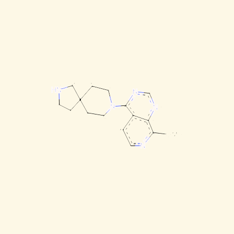 COc1nccc2c(N3CCC4(CCNC4)CC3)ncnc12